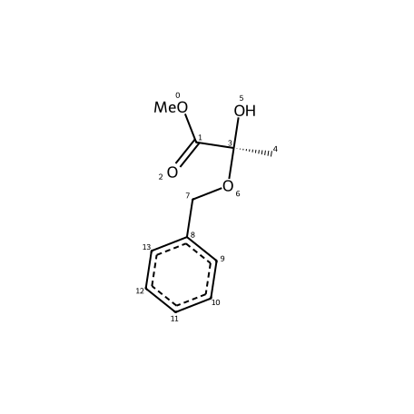 COC(=O)[C@@](C)(O)OCc1ccccc1